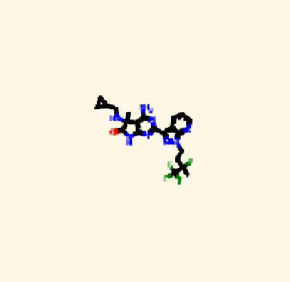 CC1(NCC2CC2)C(=O)Nc2nc(-c3nn(CCC(C)(F)C(F)(F)F)c4ncccc34)nc(N)c21